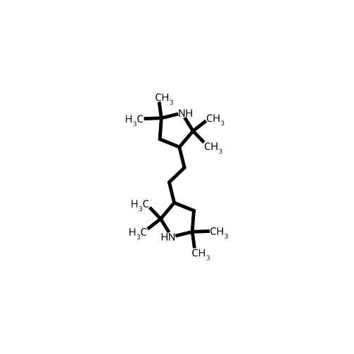 CC1(C)CC(CCC2CC(C)(C)NC2(C)C)C(C)(C)N1